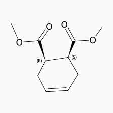 COC(=O)[C@H]1CC=CC[C@H]1C(=O)OC